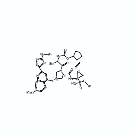 C=C[C@@H]1C[C@]1(NC(=O)[C@@H]1C[C@@H](Oc2cc(-c3csc(NC(C)C)n3)nc3cc(OC)ccc23)CN1C(=O)C(NC(=O)OC1CCCC1)C(C)(C)C)P(=O)(O)OC(C)C